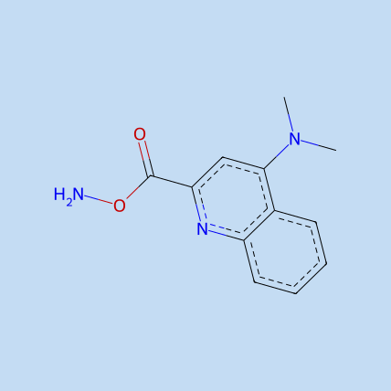 CN(C)c1cc(C(=O)ON)nc2ccccc12